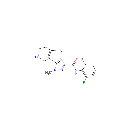 CC1=C(c2cc(C(=O)Nc3c(F)cccc3F)nn2C)CNCC1